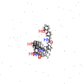 CC(C)(Cc1cccc(CC(=O)NCc2ccc(-c3ccccc3O)cc2)c1)NC[C@H](CC(C)(C)[Si](C)(C)O)c1ccc(O)c(NS(C)(=O)=O)c1